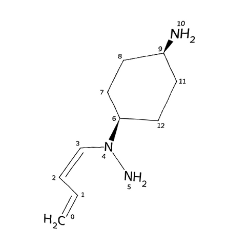 C=C/C=C\N(N)[C@H]1CC[C@@H](N)CC1